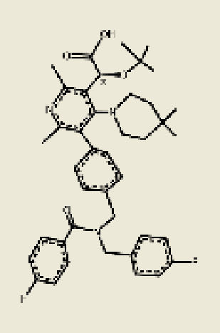 Cc1nc(C)c([C@H](OC(C)(C)C)C(=O)O)c(N2CCC(C)(C)CC2)c1-c1ccc(CN(Cc2ccc(F)cc2)C(=O)c2ccc(F)cc2)cc1